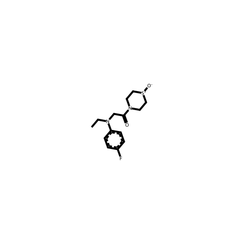 CCN(CC(=O)N1CC[S+]([O-])CC1)c1ccc(F)cc1